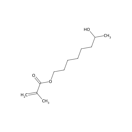 C=C(C)C(=O)OCCCCCCC(C)O